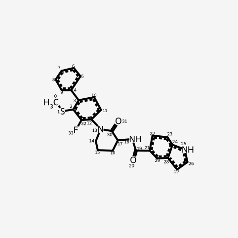 CSc1c(-c2ccccc2)ccc(N2CCCC(NC(=O)c3ccc4[nH]ccc4c3)C2=O)c1F